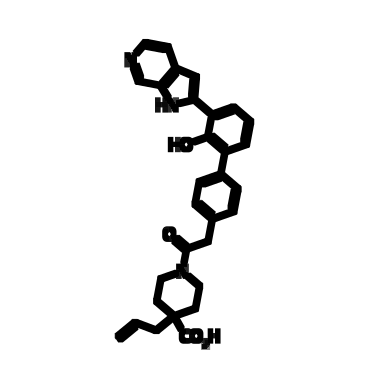 C=CCC1(C(=O)O)CCN(C(=O)Cc2ccc(-c3cccc(-c4cc5ccncc5[nH]4)c3O)cc2)CC1